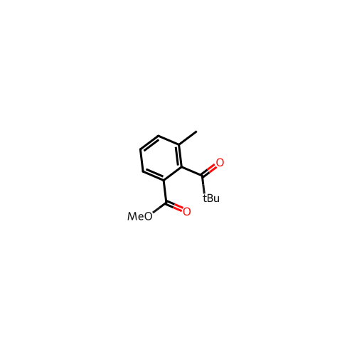 COC(=O)c1cccc(C)c1C(=O)C(C)(C)C